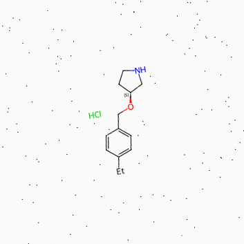 CCc1ccc(CO[C@H]2CCNC2)cc1.Cl